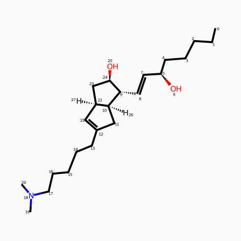 CCCCC[C@@H](O)/C=C/[C@@H]1[C@H]2CC(CCCCCN(C)C)=C[C@H]2C[C@H]1O